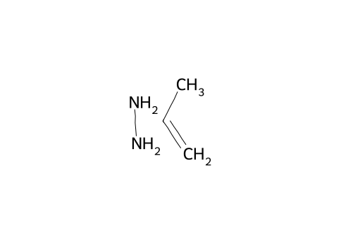 C=CC.NN